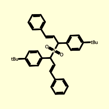 CC(C)(C)c1ccc(C(C=Cc2ccccc2)S(=O)(=O)C(C=Cc2ccccc2)c2ccc(C(C)(C)C)cc2)cc1